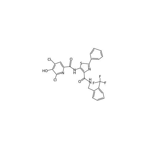 O=C(Nc1sc(-c2ccccc2)nc1C(=O)NCc1ccccc1C(F)(F)F)c1cc(Cl)c(O)c(Cl)n1